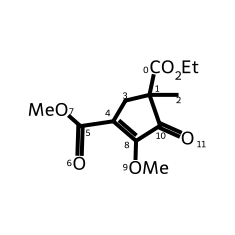 CCOC(=O)C1(C)CC(C(=O)OC)=C(OC)C1=O